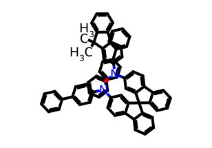 CC1(C)c2ccccc2-c2ccc(N(c3ccccc3)c3ccc4c(c3)C3(c5ccccc5-c5ccc(N(c6ccc(-c7ccccc7)cc6)c6ccc(-c7ccccc7)cc6)cc53)c3ccccc3-4)cc21